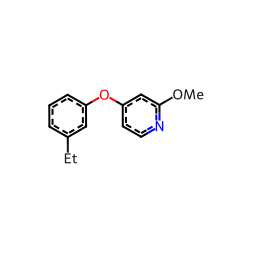 CCc1cccc(Oc2ccnc(OC)c2)c1